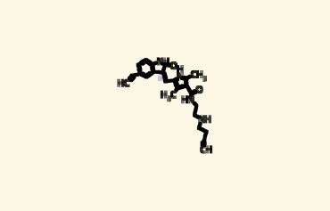 C#CCCNCCNC(=O)c1c(C)[nH]c(/C=C2\C(=O)Nc3ccc(C#C)cc32)c1C